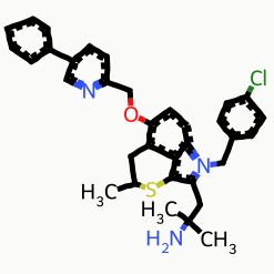 CC1Cc2c(OCc3ccc(-c4ccccc4)cn3)ccc3c2c(c(CC(C)(C)N)n3Cc2ccc(Cl)cc2)S1